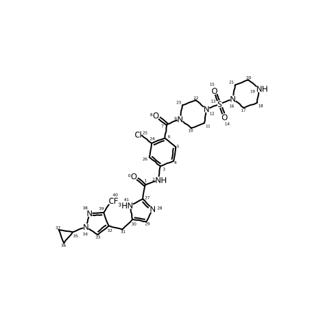 O=C(Nc1ccc(C(=O)N2CCN(S(=O)(=O)N3CCNCC3)CC2)c(Cl)c1)c1ncc(Cc2cn(C3CC3)nc2C(F)(F)F)[nH]1